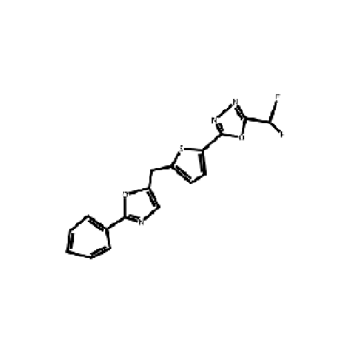 FC(F)c1nnc(-c2ccc(Cc3cnc(-c4ccccc4)o3)s2)o1